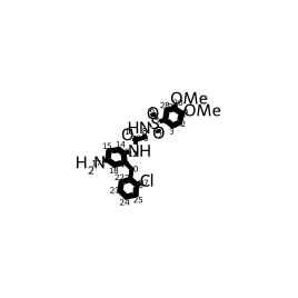 COc1ccc(S(=O)(=O)NCC(=O)Nc2ccc(N)cc2Cc2ccccc2Cl)cc1OC